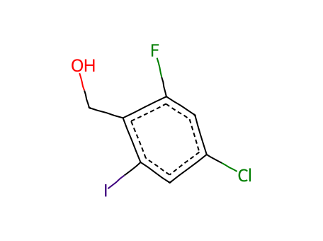 OCc1c(F)cc(Cl)cc1I